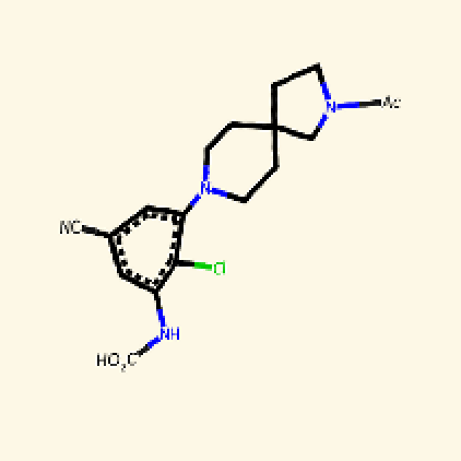 CC(=O)N1CCC2(CCN(c3cc(C#N)cc(NC(=O)O)c3Cl)CC2)C1